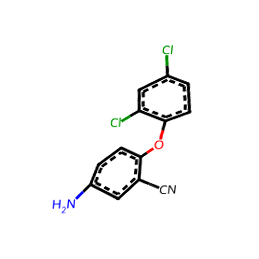 N#Cc1cc(N)ccc1Oc1ccc(Cl)cc1Cl